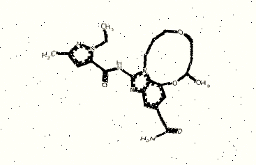 CCn1nc(C)cc1C(=O)Nc1nc2cc(C(N)=O)cc3c2n1CCCOCCC(C)O3